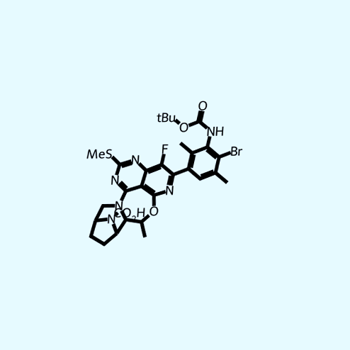 CSc1nc2c3c(nc(-c4cc(C)c(Br)c(NC(=O)OC(C)(C)C)c4C)c(F)c3n1)OC(C)C1C3CCC(CN21)N3C(=O)O